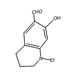 CCN1CCCc2cc(C=O)c(O)cc21